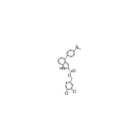 CN(C)c1ccc(-c2cccc3[nH]c(C(=O)OCc4ccc(Cl)c(Cl)c4)cc23)cc1